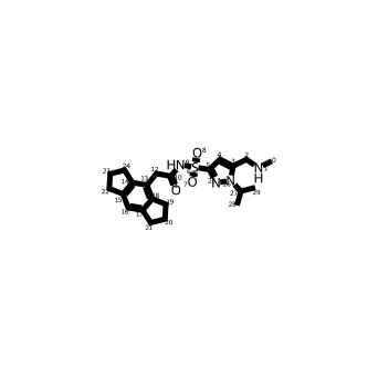 CNCc1cc(S(=O)(=O)NC(=O)Cc2c3c(cc4c2CCC4)CCC3)nn1C(C)C